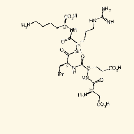 CC(C)C[C@H](NC(=O)[C@H](CCC(=O)O)NC(=O)[C@H](N)CC(=O)O)C(=O)N[C@@H](CCCNC(=N)N)C(=O)N[C@@H](CCCCN)C(=O)O